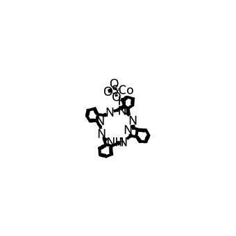 O=[S](=O)([Co])Oc1cccc2c3nc4nc(nc5[nH]c(nc6nc(nc([nH]3)c12)-c1ccccc1-6)c1ccccc51)-c1ccccc1-4